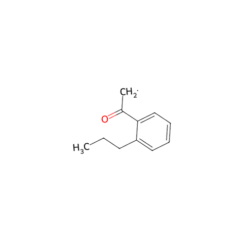 [CH2]C(=O)c1ccccc1CCC